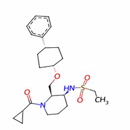 CCS(=O)(=O)N[C@H]1CCCN(C(=O)C2CC2)[C@H]1CO[C@H]1CC[C@@H](c2ccccc2)CC1